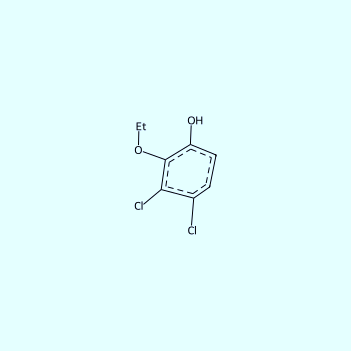 CCOc1c(O)ccc(Cl)c1Cl